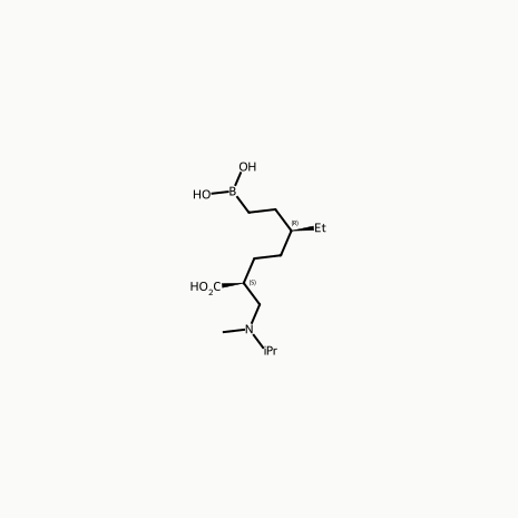 CC[C@H](CCB(O)O)CC[C@@H](CN(C)C(C)C)C(=O)O